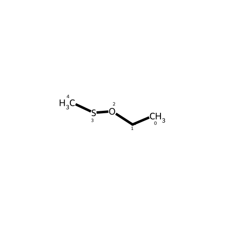 C[CH]OSC